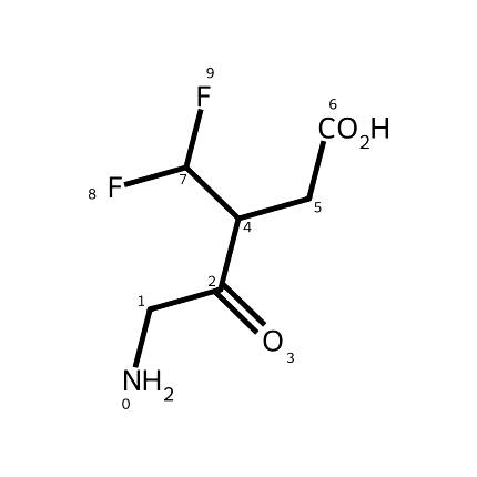 NCC(=O)C(CC(=O)O)C(F)F